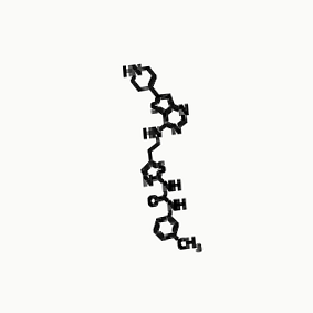 Cc1cccc(NC(=O)Nc2ncc(CCNc3ncnc4cc(C5=CCNCC5)sc34)s2)c1